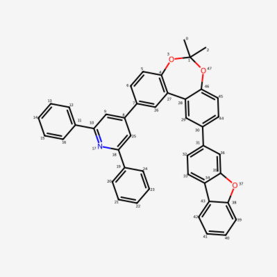 CC1(C)Oc2ccc(-c3cc(-c4ccccc4)nc(-c4ccccc4)c3)cc2-c2cc(-c3ccc4c(c3)oc3ccccc34)ccc2O1